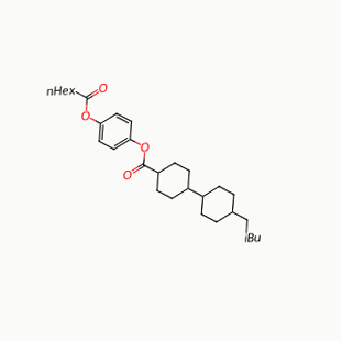 CCCCCCC(=O)Oc1ccc(OC(=O)C2CCC(C3CCC(CC(C)CC)CC3)CC2)cc1